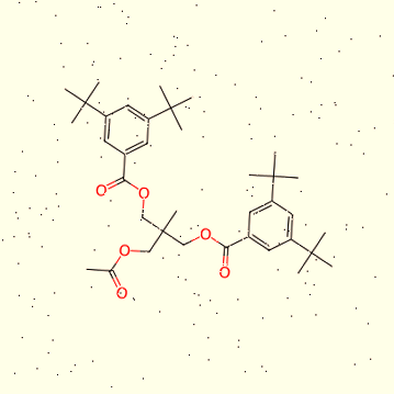 CC(=O)OCC(C)(COC(=O)c1cc(C(C)(C)C)cc(C(C)(C)C)c1)COC(=O)c1cc(C(C)(C)C)cc(C(C)(C)C)c1